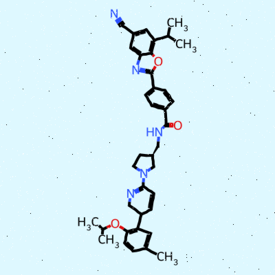 Cc1ccc(OC(C)C)c(C2C=CC(N3CC[C@@H](CNC(=O)c4ccc(-c5nc6cc(C#N)cc(C(C)C)c6o5)cc4)C3)=NC2)c1